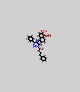 O=C(CCCc1ccccc1)Nc1nc2c(nc1Cc1ccccc1)-c1ccc(O)c(O)c1CC2